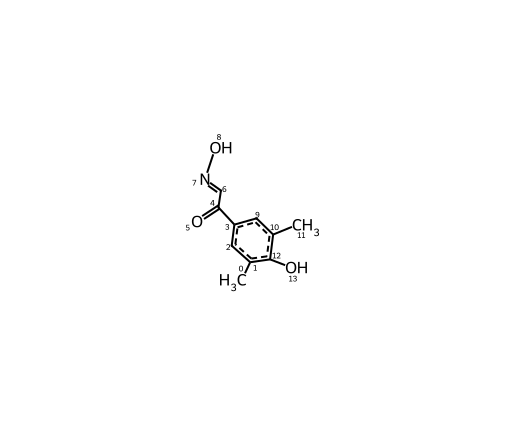 Cc1cc(C(=O)C=NO)cc(C)c1O